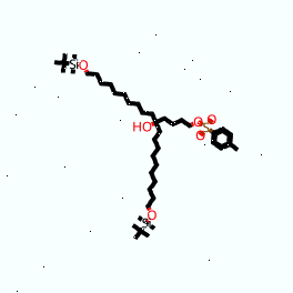 Cc1ccc(S(=O)(=O)OCCCCC(O)(CCCCCCCCCCO[Si](C)(C)C(C)(C)C)CCCCCCCCCCO[Si](C)(C)C(C)(C)C)cc1